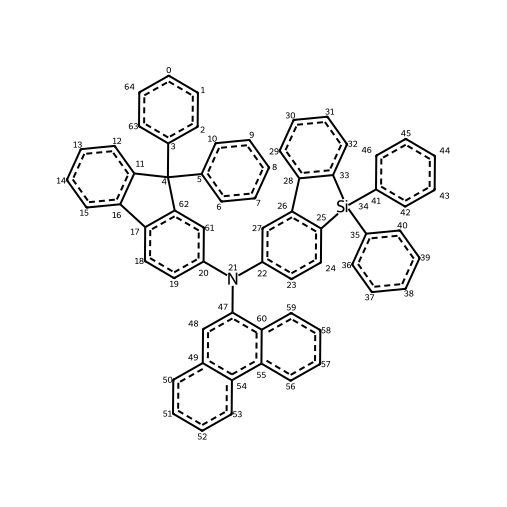 c1ccc(C2(c3ccccc3)c3ccccc3-c3ccc(N(c4ccc5c(c4)-c4ccccc4[Si]5(c4ccccc4)c4ccccc4)c4cc5ccccc5c5ccccc45)cc32)cc1